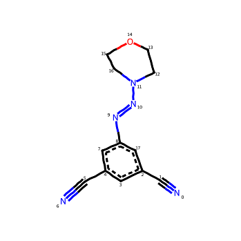 N#Cc1cc(C#N)cc(N=NN2CCOCC2)c1